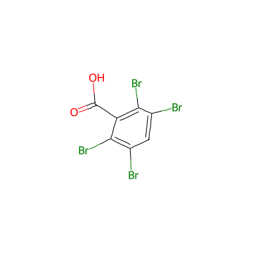 O=C(O)c1c(Br)c(Br)cc(Br)c1Br